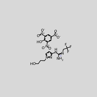 N/C(=N/CC(F)(F)F)Nc1ccn(CCCO)n1.O=[N+]([O-])c1cc([N+](=O)[O-])c(O)c([N+](=O)[O-])c1